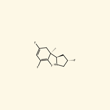 C[C@@]1([C@H]2C[C@H](F)CN2)CC(F)=CC(F)=C1F